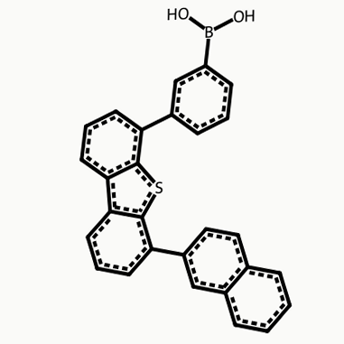 OB(O)c1cccc(-c2cccc3c2sc2c(-c4ccc5ccccc5c4)cccc23)c1